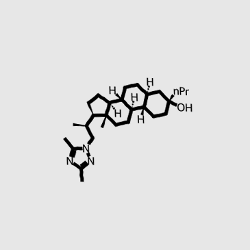 CCC[C@@]1(O)CC[C@H]2[C@@H](CC[C@@H]3[C@@H]2CC[C@]2(C)[C@@H]([C@H](C)Cn4nc(C)nc4C)CC[C@@H]32)C1